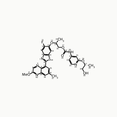 COc1cnc2c(-c3nc4cc(F)c(O[C@@H](C)COC(=O)Nc5ccnc(O[C@H](C)CO)c5)cc4s3)cc(C)cc2n1